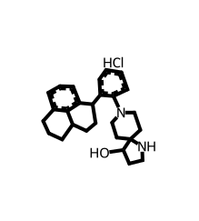 Cl.OC1CCNC12CCN(c1ccccc1C1CCC3CCCc4cccc1c43)CC2